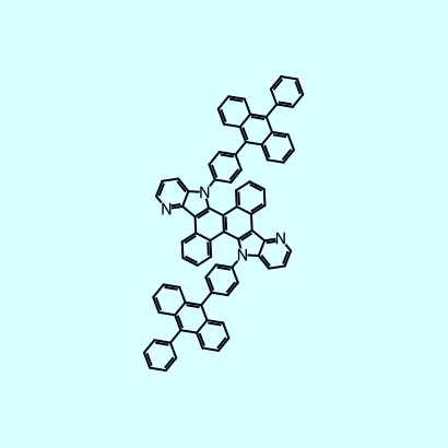 c1ccc(-c2c3ccccc3c(-c3ccc(-n4c5cccnc5c5c6ccccc6c6c(c7ccccc7c7c8ncccc8n(-c8ccc(-c9c%10ccccc%10c(-c%10ccccc%10)c%10ccccc9%10)cc8)c76)c54)cc3)c3ccccc23)cc1